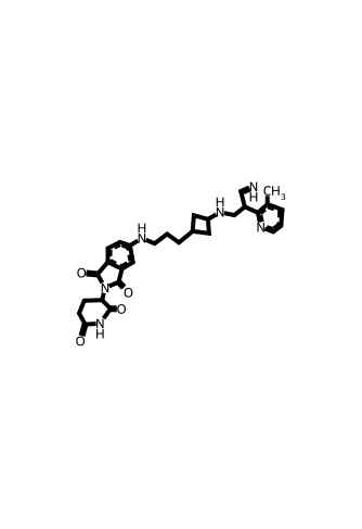 Cc1cccnc1C(C=N)CNC1CC(CCCNc2ccc3c(c2)C(=O)N(C2CCC(=O)NC2=O)C3=O)C1